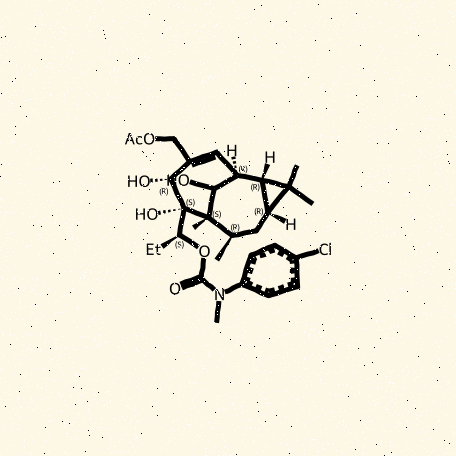 CC[C@H](OC(=O)N(C)c1ccc(Cl)cc1)[C@@]1(O)[C@H](O)C(COC(C)=O)=C[C@@H]2C(O)[C@]1(C)[C@H](C)C[C@@H]1[C@H]2C1(C)C